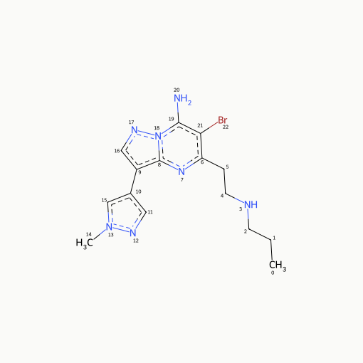 CCCNCCc1nc2c(-c3cnn(C)c3)cnn2c(N)c1Br